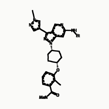 CCNc1cc2c(cn1)c(-c1cnn(C)c1)nn2[C@H]1CC[C@@H](Oc2cccc(C(=O)NC)c2C)CC1